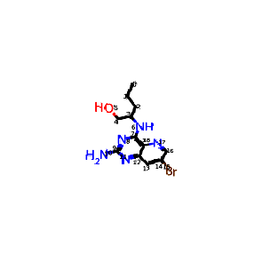 CCCC(CO)Nc1nc(N)nc2cc(Br)cnc12